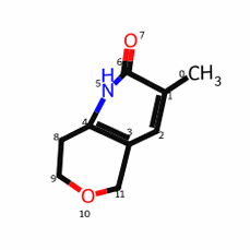 Cc1cc2c([nH]c1=O)CCOC2